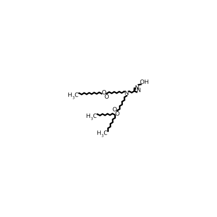 CCCCCCCCCCCOC(=O)CCCCCCCN(CCCCCCCC(=O)OC(CCCCCCCC)CCCCCCCC)CCc1cnn(CCO)c1